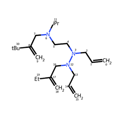 C=CCN(CCN(CC(=C)C(C)(C)C)C(C)C)N(CC=C)CC(=C)CC